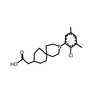 Cc1cc(C)c(Cl)c(N2CCC3(CCC(CC(=O)O)CC3)CC2)c1